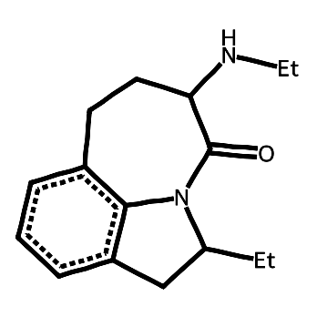 CCNC1CCc2cccc3c2N(C1=O)C(CC)C3